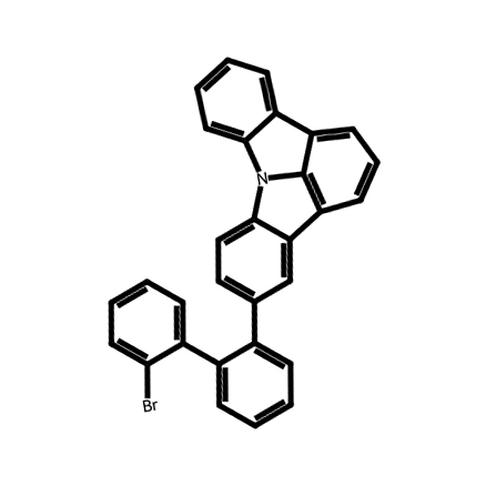 Brc1ccccc1-c1ccccc1-c1ccc2c(c1)c1cccc3c4ccccc4n2c31